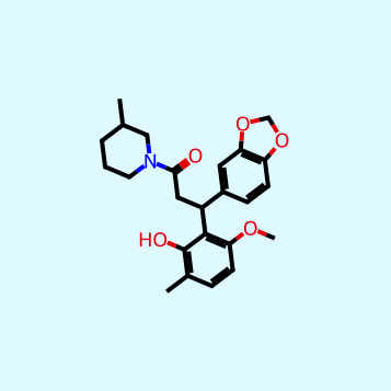 COc1ccc(C)c(O)c1C(CC(=O)N1CCCC(C)C1)c1ccc2c(c1)OCO2